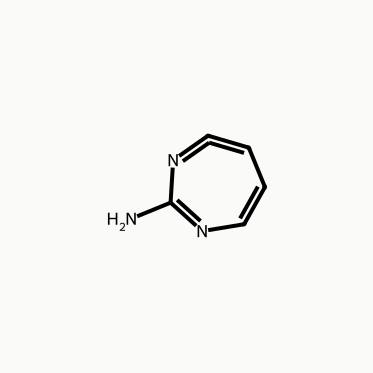 NC1=NC=CC=C=N1